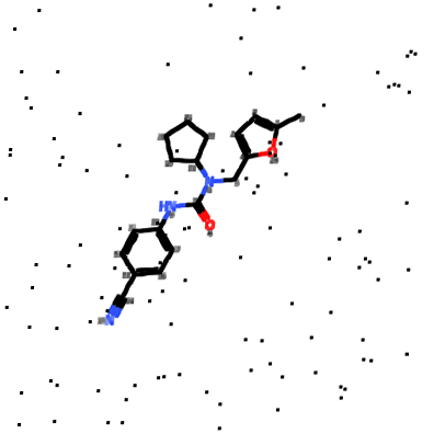 Cc1ccc(CN(C(=O)Nc2ccc(C#N)cc2)C2CCCC2)o1